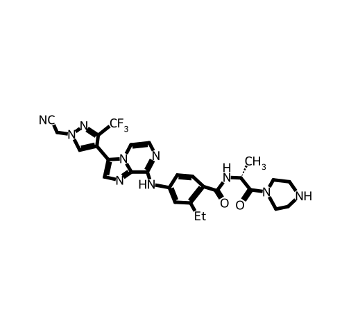 CCc1cc(Nc2nccn3c(-c4cn(CC#N)nc4C(F)(F)F)cnc23)ccc1C(=O)N[C@H](C)C(=O)N1CCNCC1